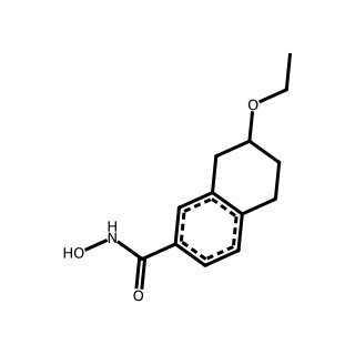 CCOC1CCc2ccc(C(=O)NO)cc2C1